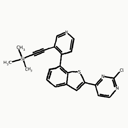 C[Si](C)(C)C#Cc1cnccc1-c1cccc2cc(-c3ccnc(Cl)n3)sc12